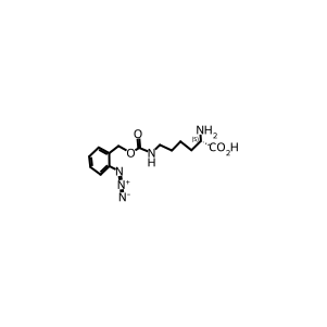 [N-]=[N+]=Nc1ccccc1COC(=O)NCCCC[C@H](N)C(=O)O